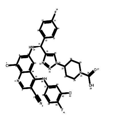 N#Cc1cnc2c(Cl)cc(N[C@@H](c3ccc(F)cc3)c3cn(C4CCN(C(=O)O)CC4)nn3)cc2c1Nc1ccc(F)c(Cl)c1